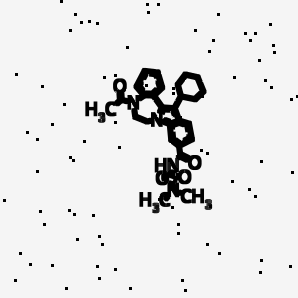 CC(=O)N1CCn2c(c(C3CCCCC3)c3ccc(C(=O)NS(=O)(=O)N(C)C)cc32)-c2ccccc21